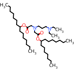 CCCCCCCC(CCCCCCC)OC(=O)CN(CCCN(CC)CC)CC(=O)OC(CCCCCCC)CCCCCCC